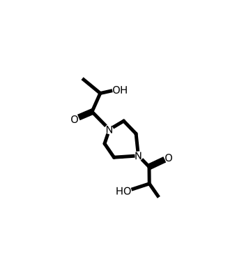 CC(O)C(=O)N1CCN(C(=O)C(C)O)CC1